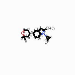 C[C@H]1CC1n1c(C=O)cc2cc([C@H]3CCOC(C)(C)C3)ccc21